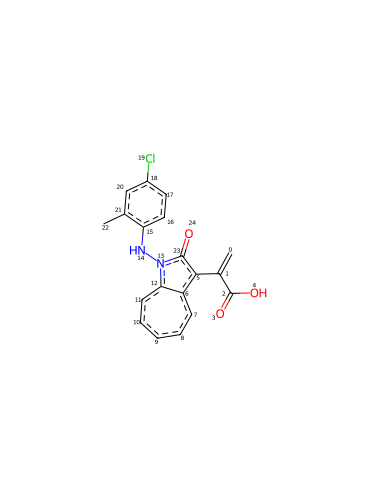 C=C(C(=O)O)c1c2cccccc-2n(Nc2ccc(Cl)cc2C)c1=O